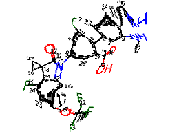 CNc1cc(-c2c(F)cc(NC(=O)C3(c4ccc(OC(F)(F)F)cc4F)CC3)cc2C(=O)O)ccc1C=N